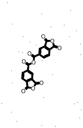 O=C(OC(=O)c1ccc2c(c1)C(=O)OC2=O)c1ccc2c(c1)C(=O)OC2=O